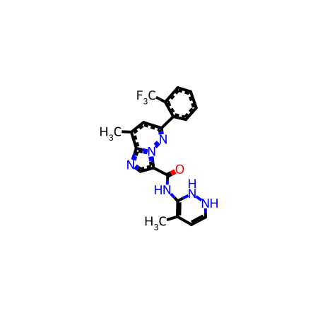 CC1=C(NC(=O)c2cnc3c(C)cc(-c4ccccc4C(F)(F)F)nn23)NNC=C1